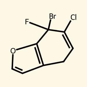 FC1(Br)C(Cl)=CCc2ccoc21